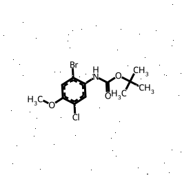 COc1cc(Br)c(NC(=O)OC(C)(C)C)cc1Cl